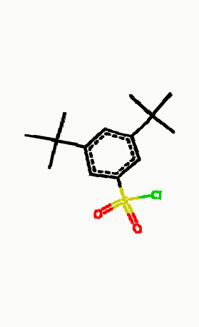 CC(C)(C)c1cc(C(C)(C)C)cc(S(=O)(=O)Cl)c1